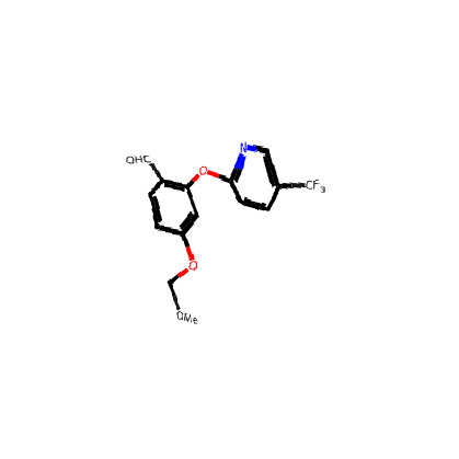 COCOc1ccc(C=O)c(Oc2ccc(C(F)(F)F)cn2)c1